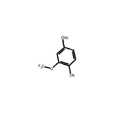 CC(=O)Oc1ccc(C#N)c(OC(F)(F)F)c1